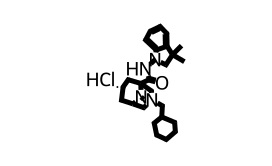 CN1C2C[CH]CC1(C(=O)NN1CC(C)(C)c3ccccc31)CN(CC1CCCCC1)C2.Cl